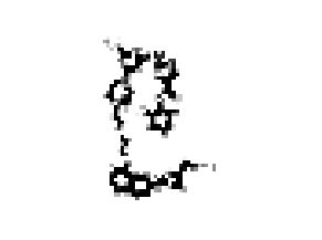 Cc1nc(Nc2ncc(C(=O)Nc3c(C)cccc3Cl)s2)cc(N2CCN(CCOCCOc3cccc4ccc(-c5nc(CC(=O)O)cs5)cc34)CC2)n1